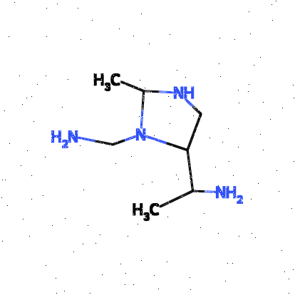 CC(N)C1CNC(C)N1CN